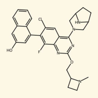 CN1CCC1COc1nc(N2CC3CCC(C2)N3)c2cc(Cl)c(-c3cc(O)cc4ccccc34)c(F)c2n1